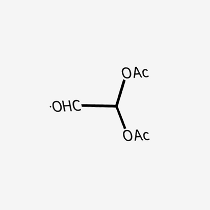 CC(=O)OC([C]=O)OC(C)=O